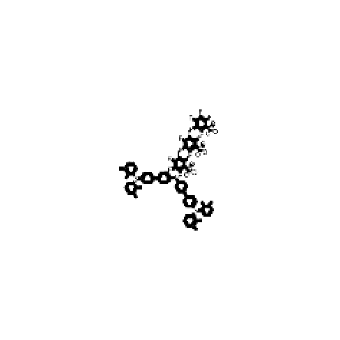 Cc1cccc([S+](c2ccc(-c3ccc([I+]c4ccc(-c5ccc([S+](c6cccc(C)c6C)c6cccc(C)c6C)cc5)cc4)cc3)cc2)c2cccc(C)c2C)c1C.O=S(=O)([O-])c1c(F)c(F)c(F)c(F)c1F.O=S(=O)([O-])c1c(F)c(F)c(F)c(F)c1F.O=S(=O)([O-])c1c(F)c(F)c(F)c(F)c1F